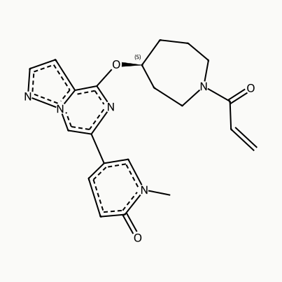 C=CC(=O)N1CCC[C@H](Oc2nc(-c3ccc(=O)n(C)c3)cn3nccc23)CC1